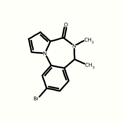 CC1c2ccc(Br)cc2-n2cccc2C(=O)N1C